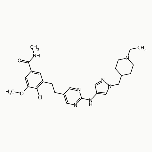 CCN1CCC(Cn2cc(Nc3ncc(CCc4cc(C(=O)NC)cc(OC)c4Cl)cn3)cn2)CC1